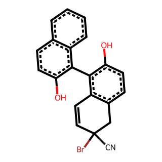 N#CC1(Br)C=Cc2c(ccc(O)c2-c2c(O)ccc3ccccc23)C1